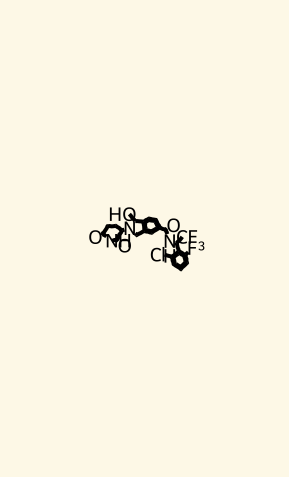 O=C1CCC(N2Cc3cc(C(=O)NC(c4c(F)cccc4Cl)C(F)(F)F)ccc3C2O)C(=O)N1